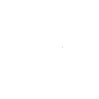 COC1CCC(Oc2ccc3cc(NC(=O)c4ccc5c(c4)OCO5)c(=O)oc3c2C)OC1(C)C